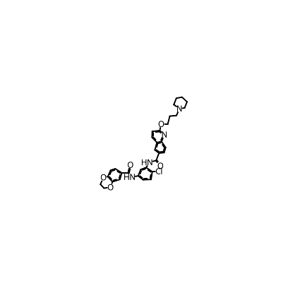 O=C(Nc1ccc(Cl)c(NC(=O)c2ccc3nc(OCCCN4CCCCC4)ccc3c2)c1)c1ccc2c(c1)OCCO2